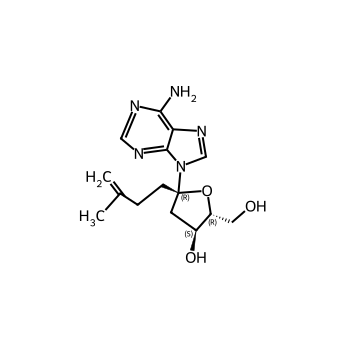 C=C(C)CC[C@]1(n2cnc3c(N)ncnc32)C[C@H](O)[C@@H](CO)O1